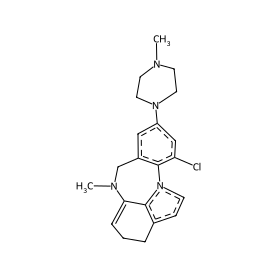 CN1CCN(c2cc(Cl)c3c(c2)CN(C)C2=CCCc4ccn-3c42)CC1